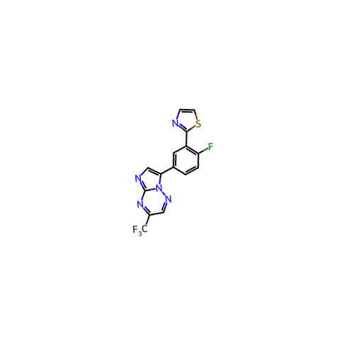 Fc1ccc(-c2cnc3nc(C(F)(F)F)cnn23)cc1-c1nccs1